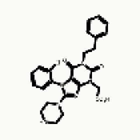 O=C(O)Cn1c(=O)n(CCc2ccccc2)c(=O)c2c1nc(N1CCNCC1)n2-c1ccccc1Cl